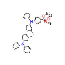 CCO[Si](OCC)(OCC)c1ccc(N(c2ccccc2)c2ccc(-c3ccc(N(c4ccccc4)c4ccccc4)cc3C)c(C)c2)cc1